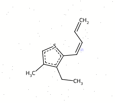 C=C/C=C\c1scc(C)c1CC